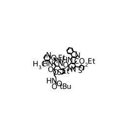 CCOC(=O)c1c(-c2cccs2)nn(CC)c(=O)c1Nc1cncc2ccccc12.CCn1nc(-c2cccs2)c(C(=O)OCCNC(=O)OC(C)(C)C)c(Nc2cnccc2C)c1=O